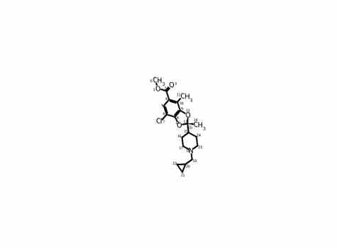 COC(=O)c1cc(Cl)c2c(c1C)O[C@](C)(C1CCN(CC3CC3)CC1)O2